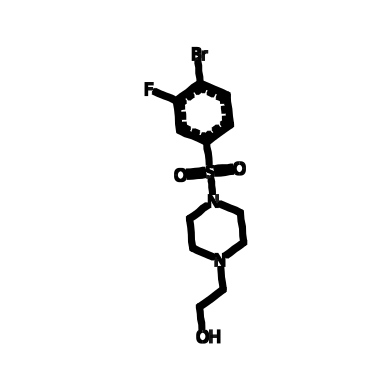 O=S(=O)(c1ccc(Br)c(F)c1)N1CCN(CCO)CC1